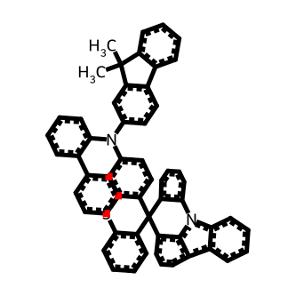 CC1(C)c2ccccc2-c2ccc(N(c3ccc4c(c3)Sc3ccccc3C43c4ccccc4-n4c5ccccc5c5cccc3c54)c3ccccc3-c3ccccc3)cc21